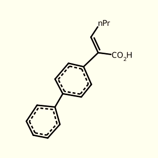 CCCC=C(C(=O)O)c1ccc(-c2ccccc2)cc1